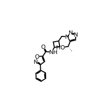 C[C@H](O)c1cnnn1CC1CC(NC(=O)c2cc(-c3ccccc3)no2)C1